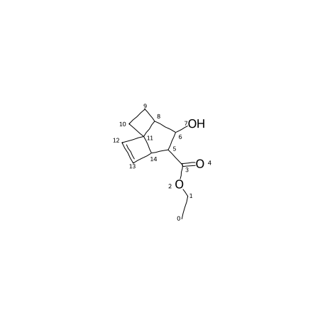 CCOC(=O)C1C(O)C2CCC23C=CC13